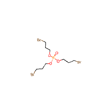 O=P(OCCCBr)(OCCCBr)OCCCBr